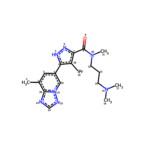 Cc1cc(-c2[nH]nc(C(=O)N(C)CCCN(C)C)c2C(C)C)cn2ncnc12